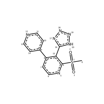 CS(=O)(=O)c1nccc(-c2ccncc2)c1-c1nnn[nH]1